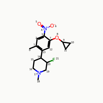 Cc1cc([N+](=O)[O-])c(OC2CC2)cc1C1CCN(C)CC1F